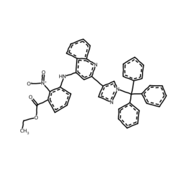 CCOC(=O)c1cccc(Nc2cc(-c3cnn(C(c4ccccc4)(c4ccccc4)c4ccccc4)c3)nc3ccccc23)c1[N+](=O)[O-]